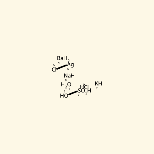 Cl.O.O=S(=O)(O)O.[BaH2].[Cl][Ag].[KH].[NaH]